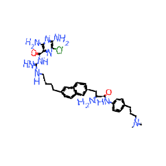 CN(C)CCCc1ccc(NC(=O)C(N)Cc2ccc3cc(CCCCNC(=N)NC(=O)c4nc(Cl)c(N)nc4N)ccc3c2)cc1